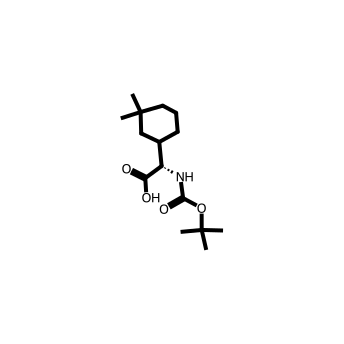 CC1(C)CCCC([C@H](NC(=O)OC(C)(C)C)C(=O)O)C1